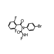 O=C(NF)N(C(=O)c1c(F)cccc1F)c1ccc(Br)cc1